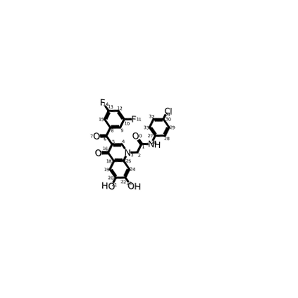 O=C(Cn1cc(C(=O)c2cc(F)cc(F)c2)c(=O)c2cc(O)c(O)cc21)Nc1ccc(Cl)cc1